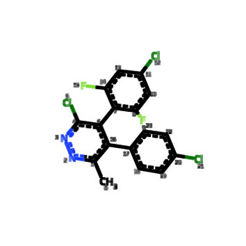 Cc1nnc(Cl)c(-c2c(F)cc(Cl)cc2F)c1-c1ccc(Cl)cc1